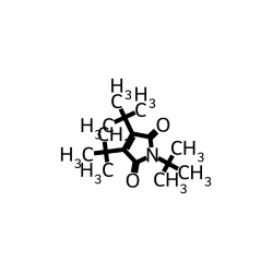 CC(C)(C)C1=C(C(C)(C)C)C(=O)N(C(C)(C)C)C1=O